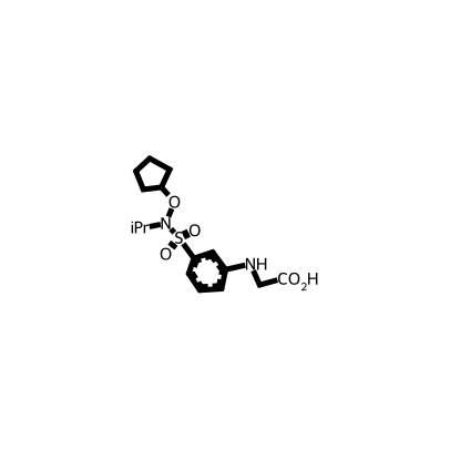 CC(C)N(OC1CCCC1)S(=O)(=O)c1cccc(NCC(=O)O)c1